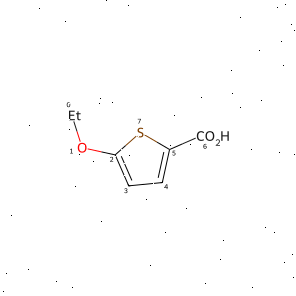 CCOc1ccc(C(=O)O)s1